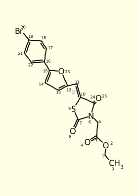 CCOC(=O)CN1C(=O)S/C(=C\c2ccc(-c3ccc(Br)cc3)o2)C1=O